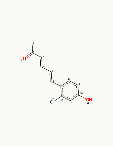 CC(=O)/C=C/C=C/c1ccc(O)cc1Cl